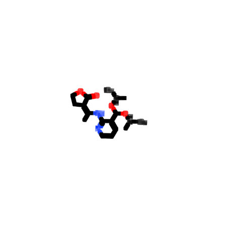 CC(Nc1ncccc1C(O[SiH](C)C(C)(C)C)O[SiH](C)C(C)(C)C)=C1CCOC1=O